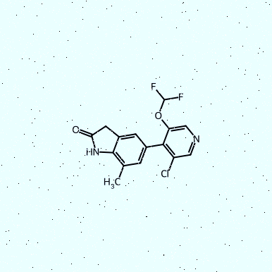 Cc1cc(-c2c(Cl)cncc2OC(F)F)cc2c1NC(=O)C2